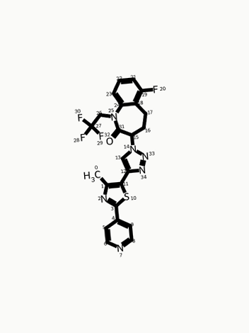 Cc1nc(-c2ccncc2)sc1-c1cn(C2CCc3c(F)cccc3N(CC(F)(F)F)C2=O)nn1